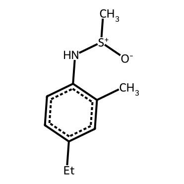 CCc1ccc(N[S+](C)[O-])c(C)c1